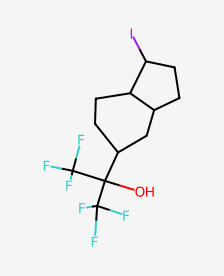 OC(C1CCC2C(I)CCC2C1)(C(F)(F)F)C(F)(F)F